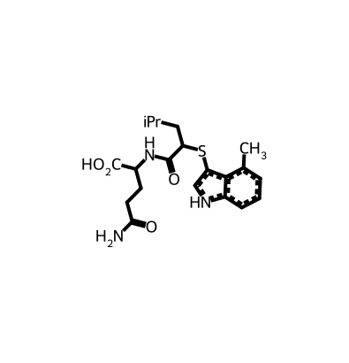 Cc1cccc2[nH]cc(SC(CC(C)C)C(=O)NC(CCC(N)=O)C(=O)O)c12